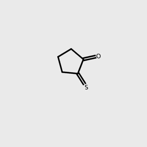 O=C1CCCC1=S